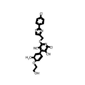 CC1C=C(c2c(C#N)c(Cl)nc(SCc3csc(-c4ccc(Cl)cc4)n3)c2C#N)C=CC1OCCO